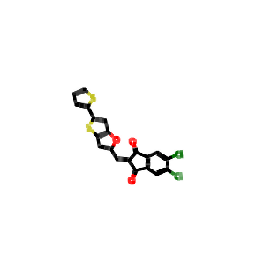 O=C1C(=Cc2cc3sc(-c4cccs4)cc3o2)C(=O)c2cc(Cl)c(Cl)cc21